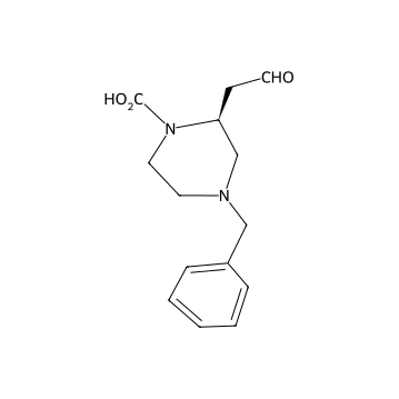 O=CC[C@H]1CN(Cc2ccccc2)CCN1C(=O)O